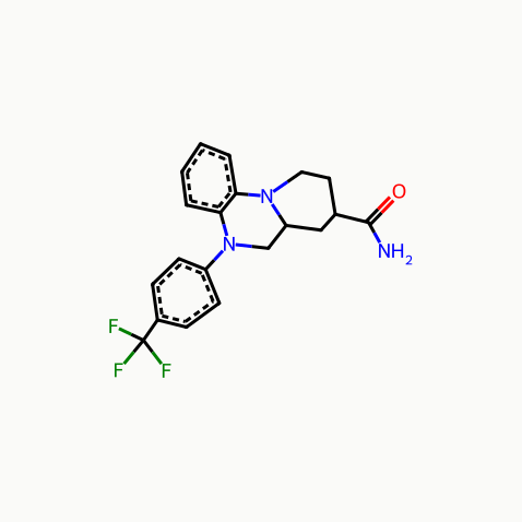 NC(=O)C1CCN2c3ccccc3N(c3ccc(C(F)(F)F)cc3)CC2C1